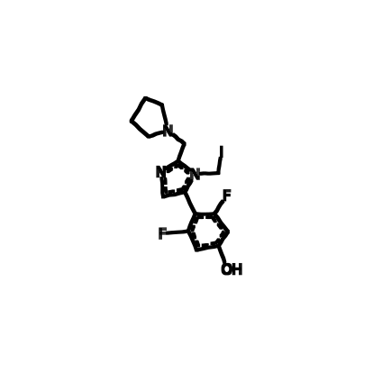 Oc1cc(F)c(-c2cnc(CN3CCCC3)n2CI)c(F)c1